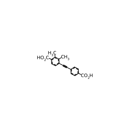 Cc1c(C#Cc2ccc(C(=O)O)cc2)ccc(C(=O)O)c1C